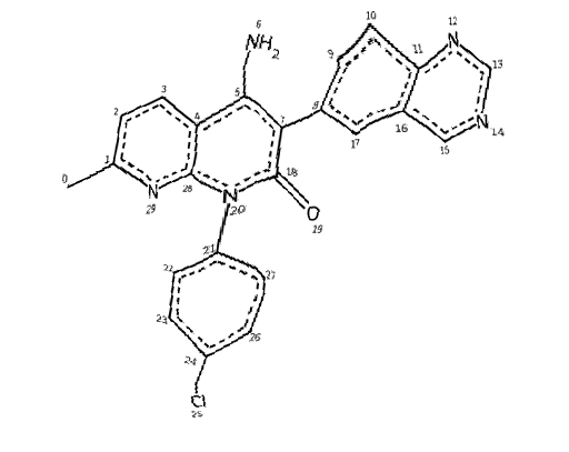 Cc1ccc2c(N)c(-c3ccc4ncncc4c3)c(=O)n(-c3ccc(Cl)cc3)c2n1